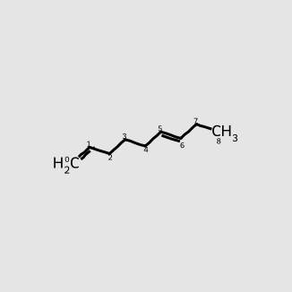 C=[C]CCC/C=C/CC